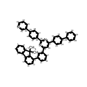 CC1(C)c2ccccc2-c2cccc(-c3cccc(-c4cc(-c5ccc(-c6ccccc6)cc5)nc(-c5ccc(-c6cccnc6)cc5)n4)c3)c21